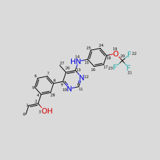 CC=C(O)c1cccc(-c2ncnc(Nc3ccc(OC(F)(F)F)cc3)c2C)c1